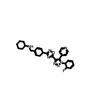 FC1C=CC=CC1n1nnc(-c2nc(C3C=CC(CNC4CCCCC4)=CC3)no2)c1-c1ccncc1